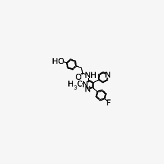 Cn1nc(-c2ccc(F)cc2)c(-c2ccncc2)c1NC(=O)Cc1ccc(O)cc1